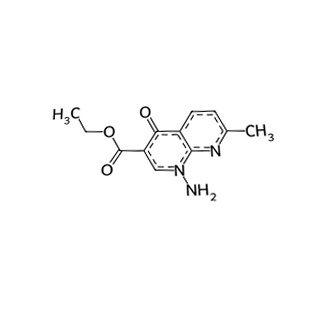 CCOC(=O)c1cn(N)c2nc(C)ccc2c1=O